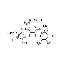 NCC1OC(OC2C(N)CC(N)C(O)C2O[C@@H]2O[C@H](CO)[C@H](O)C2O)C(N)C(O)C1O.O=S(=O)(O)O